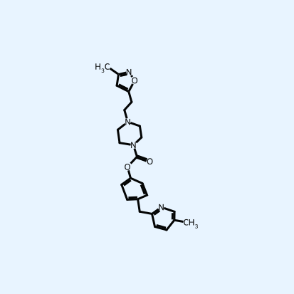 Cc1ccc(Cc2ccc(OC(=O)N3CCN(CCc4cc(C)no4)CC3)cc2)nc1